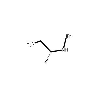 CC(C)N[C@H](C)CN